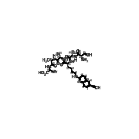 C#Cc1ccc2nc(NCCCC[C@H](NC(=O)[C@@H](NC(=O)[C@@H](N)CO)[C@@H](C)CC)C(=O)N[C@H](C(=O)N[C@@H](C)C(=O)N[C@H](C(=O)O)C(C)C)C(C)C)ccc2c1